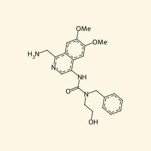 COc1cc2c(NC(=O)N(CCO)Cc3ccccc3)cnc(CN)c2cc1OC